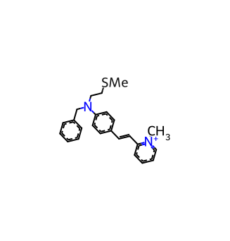 CSCCN(Cc1ccccc1)c1ccc(/C=C/c2cccc[n+]2C)cc1